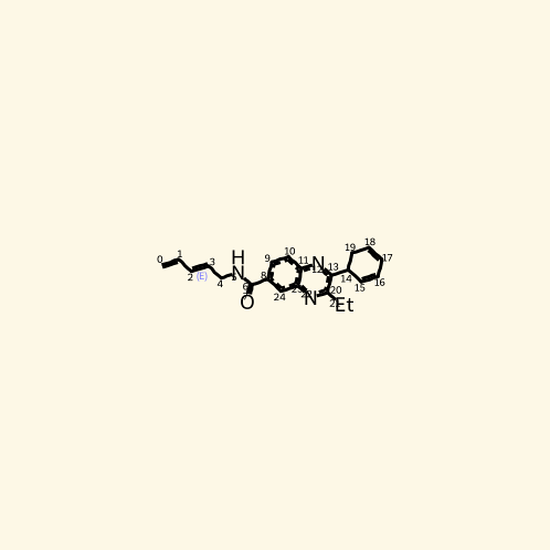 C=C/C=C/CNC(=O)c1ccc2nc(C3C=CC=CC3)c(CC)nc2c1